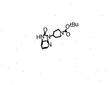 CC(C)(C)OC(=O)N1CCC(n2c(=O)[nH]c3cccnc32)CC1